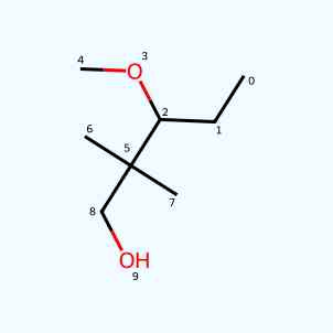 CCC(OC)C(C)(C)CO